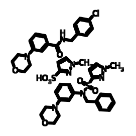 Cn1ccc(S(=O)(=O)N(Cc2ccccc2)c2cccc(N3CCOCC3)c2)n1.Cn1ccc(S(=O)(=O)O)n1.O=C(NCc1ccc(Cl)cc1)c1cccc(N2CCOCC2)c1